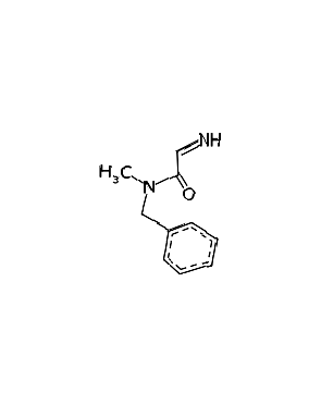 CN(Cc1ccccc1)C(=O)C=N